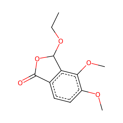 CCOC1OC(=O)c2ccc(OC)c(OC)c21